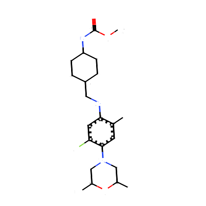 Cc1cc(N2CC(C)OC(C)C2)c(F)cc1NCC1CCC(NC(=O)OC(C)(C)C)CC1